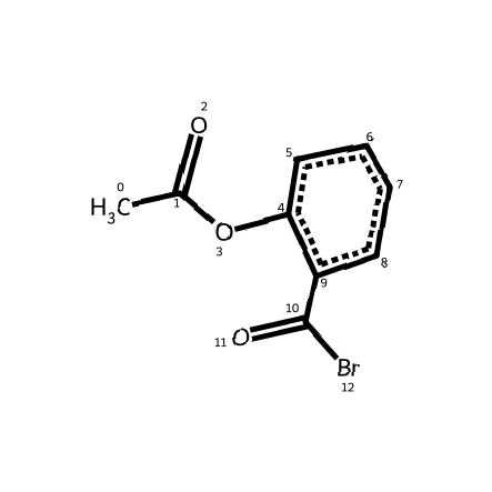 CC(=O)Oc1ccccc1C(=O)Br